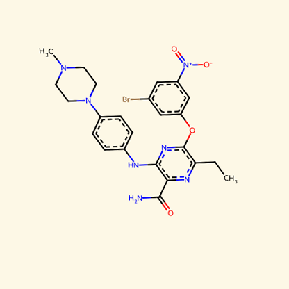 CCc1nc(C(N)=O)c(Nc2ccc(N3CCN(C)CC3)cc2)nc1Oc1cc(Br)cc([N+](=O)[O-])c1